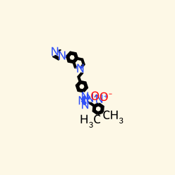 Cc1cc(-c2nnn(-c3ccc(CCN4CCc5ccc(-n6ccnc6)cc5C4)cc3)n2)c([N+](=O)[O-])cc1C